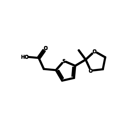 CC1(c2ccc(CC(=O)O)s2)OCCO1